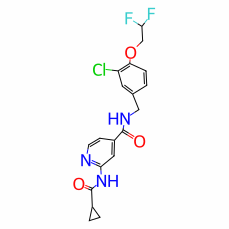 O=C(NCc1ccc(OCC(F)F)c(Cl)c1)c1ccnc(NC(=O)C2CC2)c1